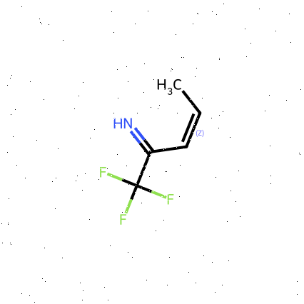 C/C=C\C(=N)C(F)(F)F